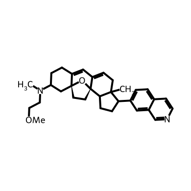 COCCN(C)C1CCC2=CC3=CCC4(C)C(c5ccc6ccncc6c5)CCC4[C@@]34CC[C@]2(C1)O4